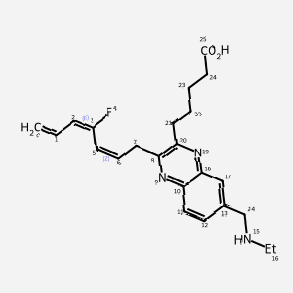 C=C/C=C(F)\C=C/Cc1nc2ccc(CNCC)cc2nc1CCCCC(=O)O